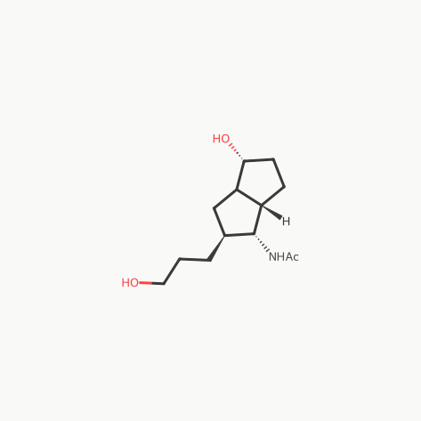 CC(=O)N[C@@H]1[C@@H](CCCO)CC2[C@H](O)CC[C@@H]21